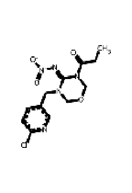 CCC(=O)N1COCN(Cc2ccc(Cl)nc2)C1=N[N+](=O)[O-]